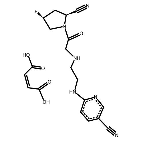 N#Cc1ccc(NCCNCC(=O)N2C[C@@H](F)C[C@H]2C#N)nc1.O=C(O)/C=C\C(=O)O